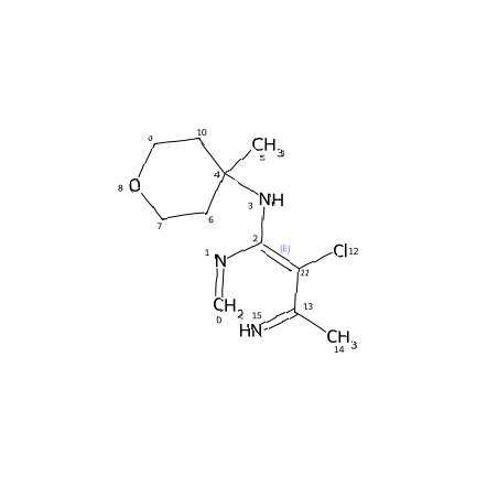 C=N/C(NC1(C)CCOCC1)=C(/Cl)C(C)=N